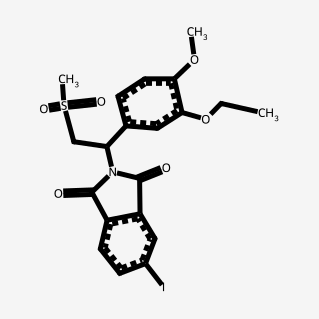 CCOc1cc(C(CS(C)(=O)=O)N2C(=O)c3ccc(I)cc3C2=O)ccc1OC